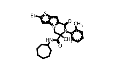 CCc1cc2c(cc3n2CC(C)(C(=O)NC2CCCCCC2)N(c2ccccc2C)C3=O)s1